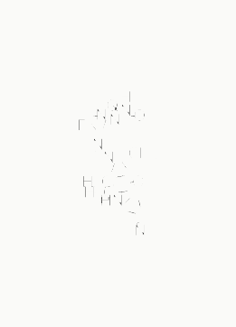 CCc1cc2c(cc1N1CCN(Cc3cc(N4CCC(=O)NC4=O)ncc3F)CC1)C(C)(C)c1[nH]c3cc(C#N)ccc3c1C2=O